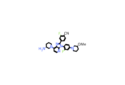 CO[C@H]1CCCN(c2ccc(-n3c(-c4ccc(C#N)c(F)c4)nc4c(N5CCC[C@@H](N)C5)ccnc43)c(F)c2)C1